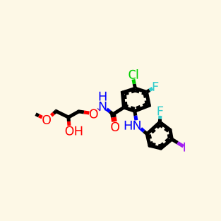 COCC(O)CONC(=O)c1cc(Cl)c(F)cc1Nc1ccc(I)cc1F